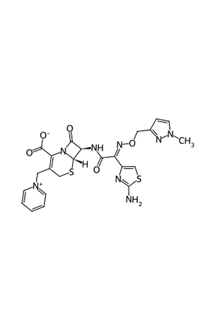 Cn1ccc(CON=C(C(=O)N[C@@H]2C(=O)N3C(C(=O)[O-])=C(C[n+]4ccccc4)CS[C@@H]23)c2csc(N)n2)n1